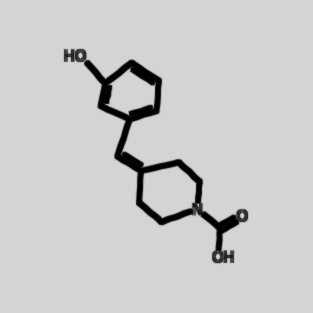 O=C(O)N1CCC(=Cc2cccc(O)c2)CC1